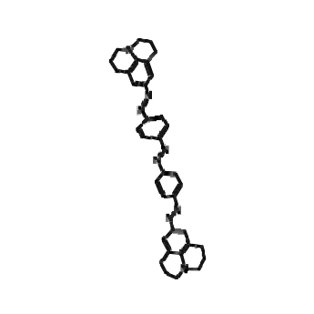 c1cc(N=Nc2cc3c4c(c2)CCCN4CCC3)ccc1N=Nc1ccc(N=Nc2cc3c4c(c2)CCCN4CCC3)cc1